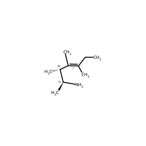 CC/C(C)=C(\C)[C@@H](C)[C@H](C)N